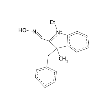 CC[N+]1=C(C=NO)C(C)(Cc2ccccc2)c2ccccc21